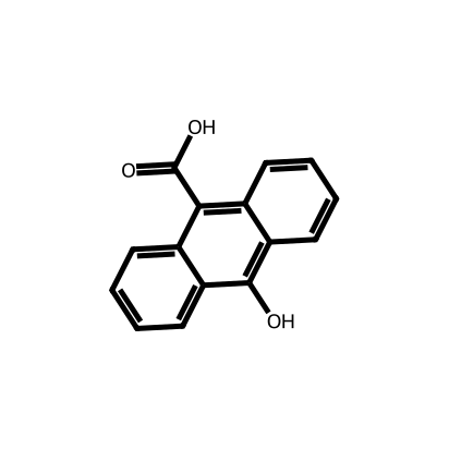 O=C(O)c1c2ccccc2c(O)c2ccccc12